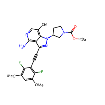 COc1cc(OC)c(F)c(C#Cc2nn([C@H]3CCN(C(=O)OC(C)(C)C)C3)c3c(C#N)cnc(N)c23)c1F